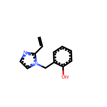 C=Cc1nccn1Cc1ccccc1O